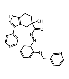 CC1(C(=O)N=Nc2ccccc2OCc2cccnc2)CCc2[nH]nc(-c3ccncc3)c2C1